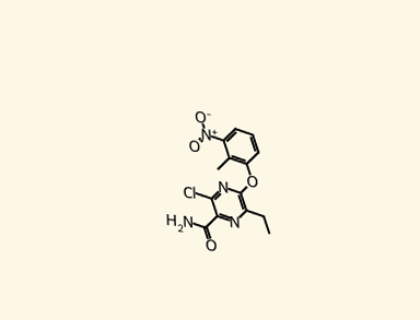 CCc1nc(C(N)=O)c(Cl)nc1Oc1cccc([N+](=O)[O-])c1C